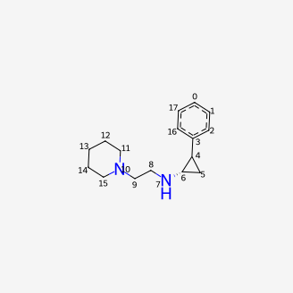 c1ccc(C2C[C@@H]2NCCN2CCCCC2)cc1